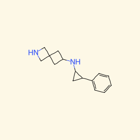 c1ccc(C2CC2NC2CC3(CNC3)C2)cc1